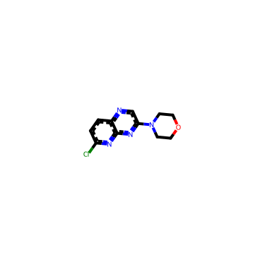 Clc1ccc2ncc(N3CCOCC3)nc2n1